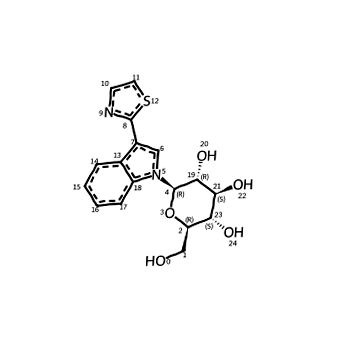 OC[C@H]1O[C@@H](n2cc(-c3nccs3)c3ccccc32)[C@H](O)[C@@H](O)[C@@H]1O